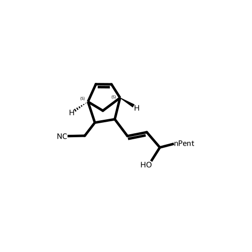 CCCCCC(O)C=CC1C(CC#N)[C@H]2C=C[C@H]1C2